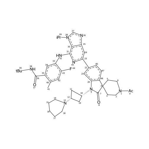 CC(=O)N1CCC2(CC1)C(=O)N([C@H]1C[C@@H](N3CCCCC3)C1)c1cc(-c3cc4ncn(C(C)C)c4c(Nc4cc(C(=O)NC(C)(C)C)c(C)cc4F)n3)ccc12